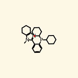 Cn1c(-c2ccccc2P(C2CCCCC2)C2CCCCC2)nc2c1CCCC2